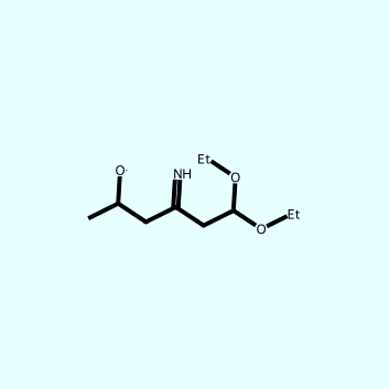 CCOC(CC(=N)CC(C)[O])OCC